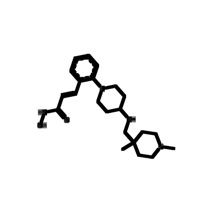 CN1CCC(C)(CNC2CCN(c3ccccc3C=CC(=O)NO)CC2)CC1